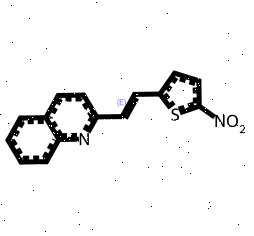 O=[N+]([O-])c1ccc(/C=C/c2ccc3ccccc3n2)s1